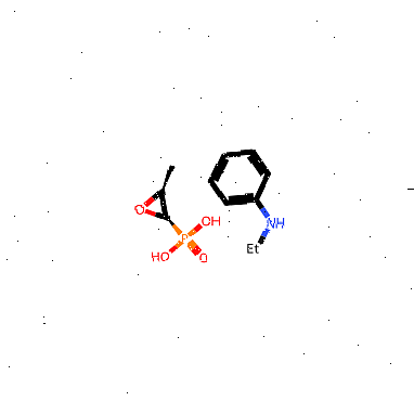 CCNc1ccccc1.C[C@@H]1O[C@@H]1P(=O)(O)O